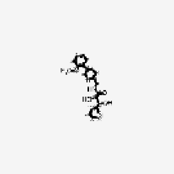 O=C(NCc1ccc(-c2ccccc2OC(F)(F)F)cn1)[C@H](O)[C@@H](O)c1ccccn1